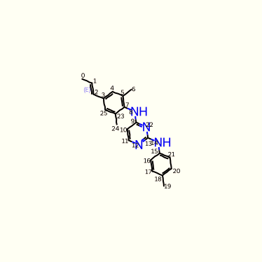 C/C=C/c1cc(C)c(Nc2ccnc(Nc3ccc(C)cc3)n2)c(C)c1